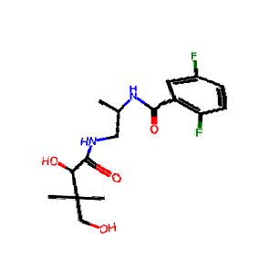 CC(CNC(=O)C(O)C(C)(C)CO)NC(=O)c1cc(F)ccc1F